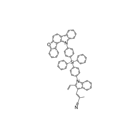 C=Cc1c(/C=C(\C)C#N)c2ccccc2n1-c1ccc([Si](c2ccccc2)(c2ccccc2)c2ccc(-n3c4ccccc4c4ccc5oc6ccccc6c5c43)cc2)cc1